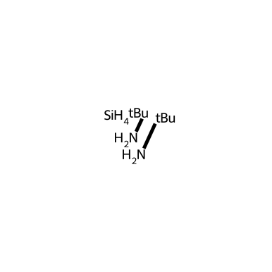 CC(C)(C)N.CC(C)(C)N.[SiH4]